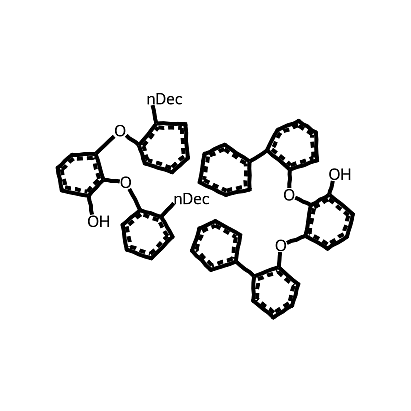 CCCCCCCCCCc1ccccc1Oc1cccc(O)c1Oc1ccccc1CCCCCCCCCC.Oc1cccc(Oc2ccccc2-c2ccccc2)c1Oc1ccccc1-c1ccccc1